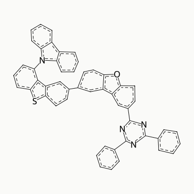 c1ccc(-c2nc(-c3ccccc3)nc(-c3ccc4oc5ccc(-c6ccc7sc8cccc(-n9c%10ccccc%10c%10ccccc%109)c8c7c6)cc5c4c3)n2)cc1